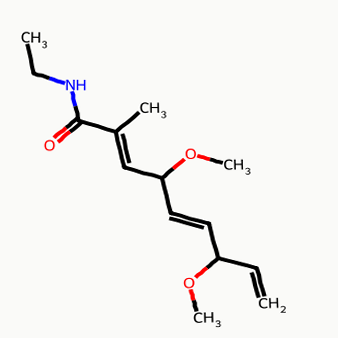 C=CC(C=CC(/C=C(\C)C(=O)NCC)OC)OC